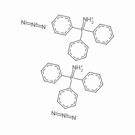 [N-]=[N+]=[N-].[N-]=[N+]=[N-].[NH2+]=P(c1ccccc1)(c1ccccc1)c1ccccc1.[NH2+]=P(c1ccccc1)(c1ccccc1)c1ccccc1